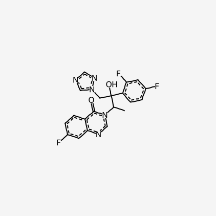 CC(n1cnc2cc(F)ccc2c1=O)C(O)(Cn1cncn1)c1ccc(F)cc1F